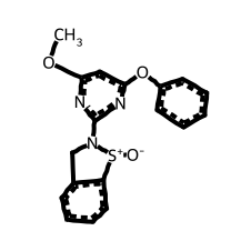 COc1cc(Oc2ccccc2)nc(N2Cc3ccccc3[S+]2[O-])n1